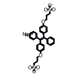 O=S(=O)([O-])CCCOc1ccc(/C(=C(\c2ccccc2)c2ccc(OCCCS(=O)(=O)[O-])cc2)c2ccccc2)cc1.[Na+].[Na+]